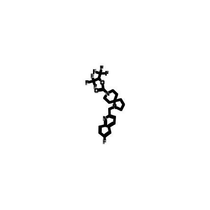 O=C(OC(C(F)(F)F)C(F)(F)F)N1CCC2(CCCN2Cc2ccc3cc(F)ccc3n2)CC1